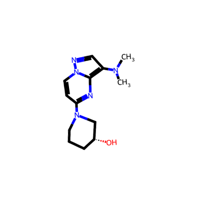 CN(C)c1cnn2ccc(N3CCC[C@@H](O)C3)nc12